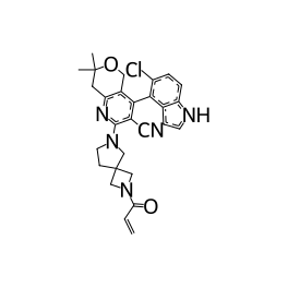 C=CC(=O)N1CC2(CCN(c3nc4c(c(-c5c(Cl)ccc6[nH]ccc56)c3C#N)COC(C)(C)C4)C2)C1